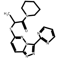 CC(Sc1ccc2nnc(-c3ncccn3)n2n1)C(=O)N1CCCCC1